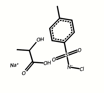 CC(O)C(=O)O.Cc1ccc(S(=O)(=O)[N-]Cl)cc1.[Na+]